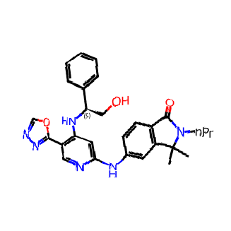 CCCN1C(=O)c2ccc(Nc3cc(N[C@H](CO)c4ccccc4)c(-c4nnco4)cn3)cc2C1(C)C